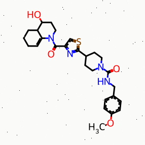 COc1ccc(CNC(=O)N2CCC(c3nc(C(=O)N4CCC(O)C5CCCC=C54)cs3)CC2)cc1